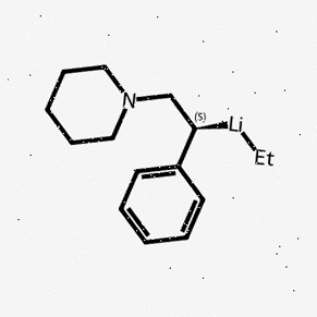 C[CH2][Li][C@H](CN1CCCCC1)c1ccccc1